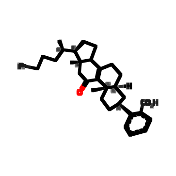 CC(C)CCC[C@@H](C)[C@H]1CCC2C3=C(C(=O)C[C@@]21C)[C@@]1(C)CC[C@H](c2ccccc2C(=O)O)C[C@@H]1CC3